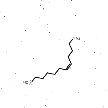 CCCCCCCCCCC/C=C\CCCCCC(=O)O